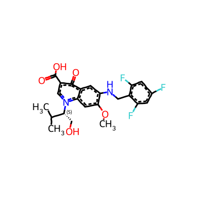 COc1cc2c(cc1NCc1c(F)cc(F)cc1F)c(=O)c(C(=O)O)cn2[C@H](CO)C(C)C